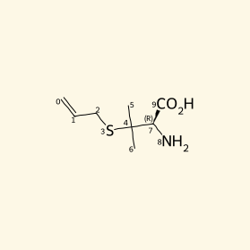 C=CCSC(C)(C)[C@H](N)C(=O)O